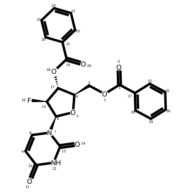 O=C(OC[C@H]1O[C@@H](n2ccc(=O)[nH]c2=O)[C@@H](F)[C@@H]1OC(=O)c1ccccc1)c1ccccc1